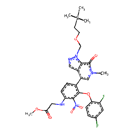 COC(=O)CNc1ccc(-c2cn(C)c(=O)c3c2cnn3COCC[Si](C)(C)C)c(Oc2ccc(F)cc2F)c1[N+](=O)[O-]